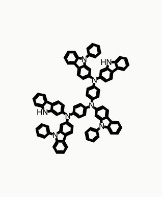 c1ccc(-n2c3ccccc3c3ccc(N(c4ccc(N(c5ccc6c(c5)[nH]c5ccccc56)c5ccc6c7ccccc7n(-c7ccccc7)c6c5)cc4)c4ccc(N(c5ccc6c(c5)[nH]c5ccccc56)c5ccc6c7ccccc7n(-c7ccccc7)c6c5)cc4)cc32)cc1